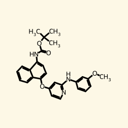 COc1cccc(Nc2cc(Oc3ccc(NC(=O)OC(C)(C)C)c4ccccc34)ccn2)c1